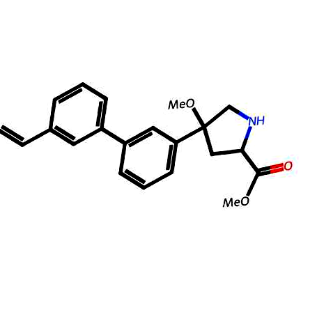 C=Cc1cccc(-c2cccc(C3(OC)CNC(C(=O)OC)C3)c2)c1